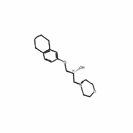 O[C@@H](COc1ccc2c(c1)CCCC2)CN1CCOCC1